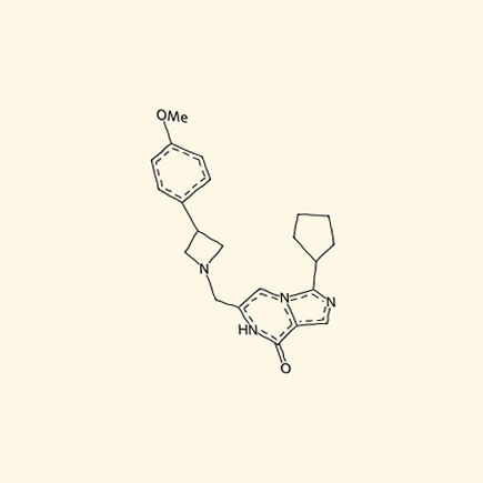 COc1ccc(C2CN(Cc3cn4c(C5CCCC5)ncc4c(=O)[nH]3)C2)cc1